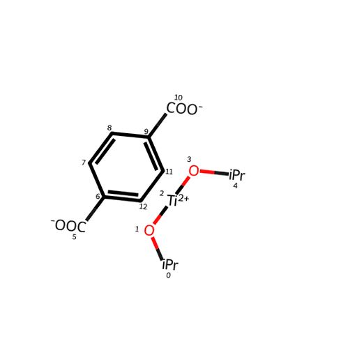 CC(C)[O][Ti+2][O]C(C)C.O=C([O-])c1ccc(C(=O)[O-])cc1